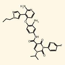 CCCn1cc(-c2c(Oc3ccc(NC(=O)c4cn(C(C)C)c(=O)n(-c5ccc(F)cc5)c4=O)cc3P)ccnc2N)cn1